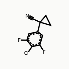 N#CC1(c2cc(F)c(Cl)c(F)c2)CC1